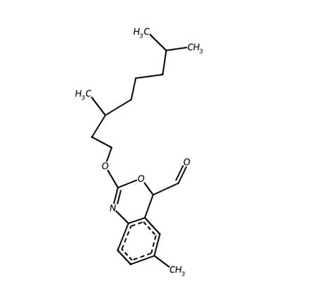 Cc1ccc2c(c1)C(C=O)OC(OCCC(C)CCCC(C)C)=N2